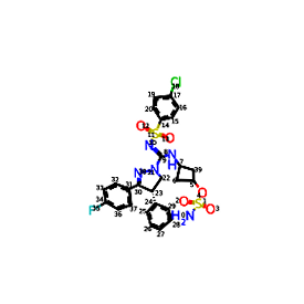 NS(=O)(=O)OC1CC(N/C(=N\S(=O)(=O)c2ccc(Cl)cc2)N2C[C@H](c3ccccc3)C(c3ccc(F)cc3)=N2)C1